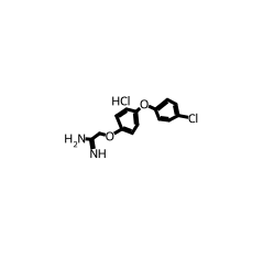 Cl.N=C(N)COc1ccc(Oc2ccc(Cl)cc2)cc1